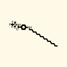 CCCCCCCCCCCCCCCCNc1ccc(C(=O)NS(=O)(=O)C(F)(F)F)cc1